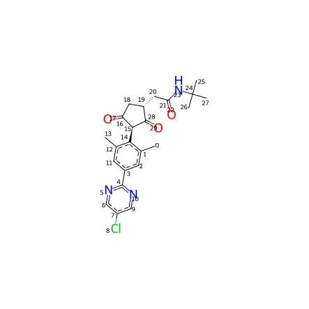 Cc1cc(-c2ncc(Cl)cn2)cc(C)c1[C@H]1C(=O)C[C@H](CC(=O)NC(C)(C)C)C1=O